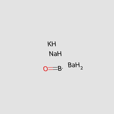 [B]=O.[BaH2].[KH].[NaH]